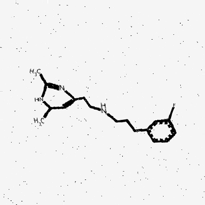 CC1=NC(CCNCCCc2cccc(F)c2)=CC(C)N1